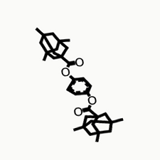 CC12CC3(C)CC(C)(C1)CC(C(=O)Oc1ccc(OC(=O)C45CC6(C)CC(C)(CC(C)(C6)C4)C5)cc1)(C2)C3